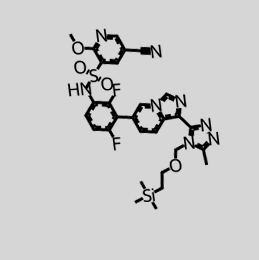 COc1ncc(C#N)cc1S(=O)(=O)Nc1ccc(F)c(-c2ccc3c(-c4nnc(C)n4COCC[Si](C)(C)C)ncn3c2)c1F